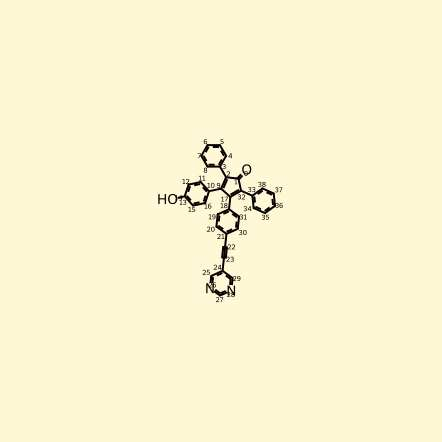 O=C1C(c2ccccc2)=C(c2ccc(O)cc2)C(c2ccc(C#Cc3cncnc3)cc2)=C1c1ccccc1